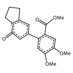 COC(=O)c1cc(OC)c(OC)cc1-c1cc2n(c(=O)c1)CCC2